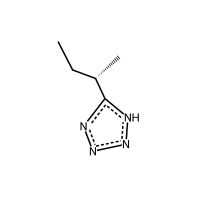 CC[C@H](C)c1nnn[nH]1